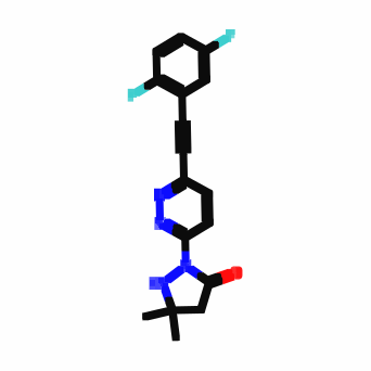 CC1(C)CC(=O)N(c2ccc(C#Cc3cc(F)ccc3F)nn2)N1